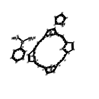 C1=Cc2cc3ccc(cc4nc(cc5ccc(cc1n2)[nH]5)C=C4)[nH]3.O=[S](=O)(O)[Zn]([c]1ccccc1)[S](=O)(=O)O.c1cc[nH]c1